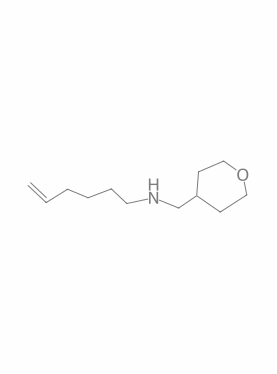 C=CCCCCNCC1CCOCC1